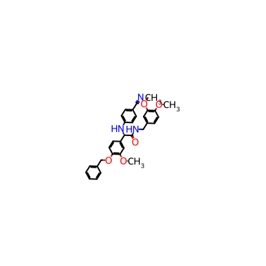 COc1ccc(CNC(=O)[C@H](Nc2ccc(C#N)cc2)c2ccc(OCc3ccccc3)c(OC)c2)cc1OC